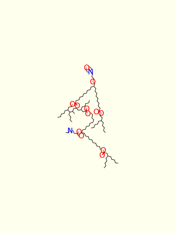 CCCCCC(CCCCC)CCOC(=O)CCCCCCCCCC(CCCCCCCCCC(=O)OCCC(CCCCC)C(CCCC)C(C)CCCC(CCCCC)CC(=O)OCCCCCCCCCCC1(CCCCCCCCCCOC(=O)CC(CCCCC)CCCCC)OCC(CCN(C)CC)O1)COCCCN1CCOCC1